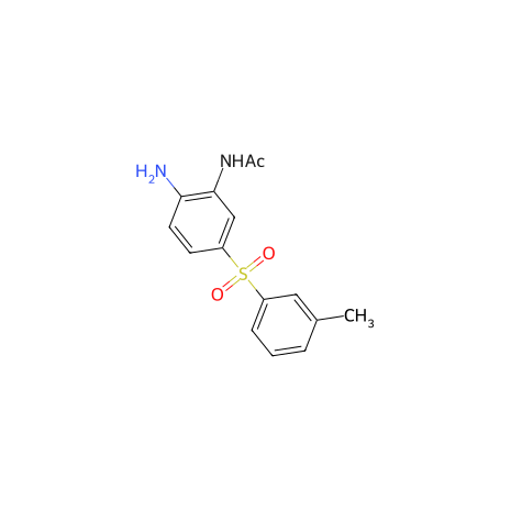 CC(=O)Nc1cc(S(=O)(=O)c2cccc(C)c2)ccc1N